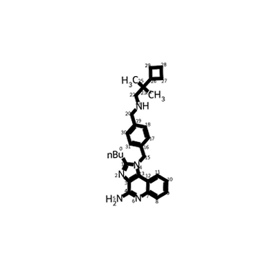 CCCCc1nc2c(N)nc3ccccc3c2n1Cc1ccc(CNCC(C)(C)C2CCC2)cc1